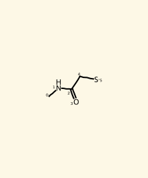 CNC(=O)C[S]